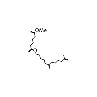 C=C(C)CCCCC(=C)CCCCCOC(=C)CCCCC(=C)OC